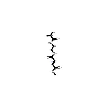 COC(=O)/C=C/C(=O)OCCOC(=O)C(C)C